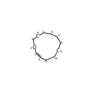 C1=COCCCCCCCCC1